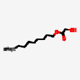 CCCCCCCCCCCCCCCOC(=O)CO